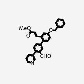 COC(=O)/C=C/c1cc(OCc2ccccc2)ccc1-c1ccc(-c2cccnc2)c(C=O)c1